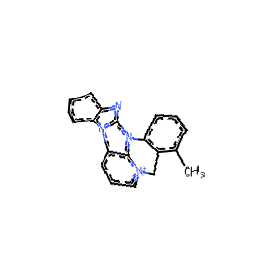 Cc1cccc2c1C[n+]1cccc3c1n-2c1nc2ccccc2n31